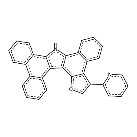 c1ccc(-c2coc3c2c2ccccc2c2[nH]c4c5ccccc5c5ccccc5c4c23)nc1